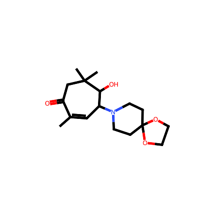 CC1=CC(N2CCC3(CC2)OCCO3)C(O)C(C)(C)CC1=O